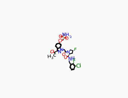 CC(=O)c1nn(CC(=O)N2C[C@H](F)C[C@H]2C(=O)NCc2cccc(Cl)c2F)c2cc(OCS(N)(=O)=O)ccc12